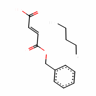 CCC[CH2][Sn].O=C(O)C=CC(=O)OCc1ccccc1